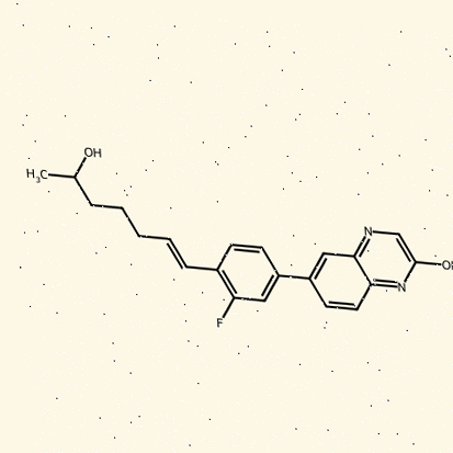 CC(O)CCCC=Cc1ccc(-c2ccc3nc(O)cnc3c2)cc1F